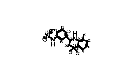 Cc1cccc2c1NC(c1cccc(NS(C)(=O)=O)c1)CC2(C)C